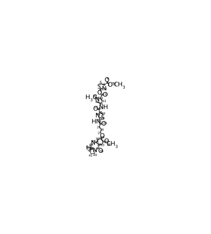 CCOC(=O)c1csc(OC(=O)c2cc(NC(=O)c3csc(NC(=O)CCCOc4cc5c(cc4OC)C(=O)N4CCC[C@H]4C=N5)n3)cn2C)n1